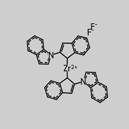 C1=C(n2ccc3ccccc32)[CH]([Zr+2][CH]2C(n3ccc4ccccc43)=Cc3ccccc32)c2ccccc21.[F-].[F-]